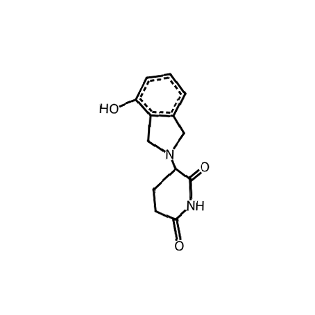 O=C1CCC(N2Cc3cccc(O)c3C2)C(=O)N1